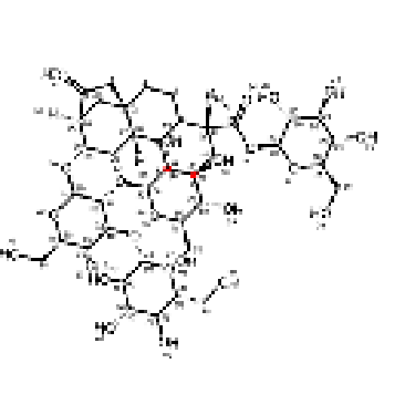 C=C1C[C@@]23CCC4C(CCC[C@@]4(C)C(=O)O[C@@H]4O[C@H](CO)[C@@H](O)[C@H](O)[C@H]4O)[C@@H]2C[C@H](O[C@@H]2O[C@H](CO)[C@@H](O)[C@H](O[C@@H]4O[C@H](CO)[C@@H](O)[C@H](O)[C@H]4O)[C@H]2O[C@@H]2O[C@H](CO)[C@@H](O)[C@H](O)[C@H]2O)[C@@H]1C3